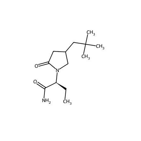 CC[C@@H](C(N)=O)N1CC(CC(C)(C)C)CC1=O